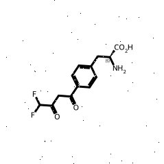 N[C@@H](Cc1ccc(C(=O)CC(=O)C(F)F)cc1)C(=O)O